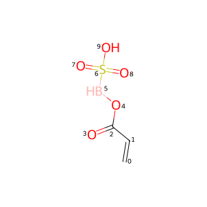 C=CC(=O)OBS(=O)(=O)O